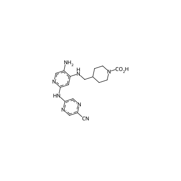 N#Cc1cnc(Nc2cc(NCC3CCN(C(=O)O)CC3)c(N)cn2)cn1